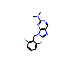 CN(C)c1ncc2ncn(Cc3c(F)cccc3F)c2n1